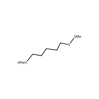 CCCCCCCCCCSSC